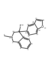 CN1Cc2ccccc2C(F)(c2ccc3occc3c2)C1